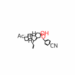 C=CCC1C=C2CC(O)(OCc3ccc(C#N)cc3)CC[C@]2(C)[C@H]2CC[C@]3(C)[C@@H](C(C)=O)CC[C@H]3[C@H]12